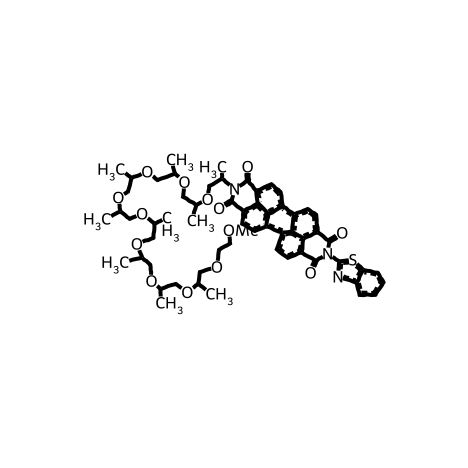 COCCOCC(C)OCC(C)OCC(C)OCC(C)OCC(C)OCC(C)OCC(C)OCC(C)OCC(C)N1C(=O)c2ccc3c4ccc5c6c(ccc(c7ccc(c2c37)C1=O)c64)C(=O)N(c1nc2ccccc2s1)C5=O